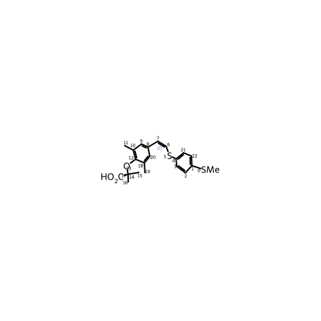 CSc1ccc(S/C=C\c2cc(C)c(OC(C)(C)C(=O)O)c(C)c2)cc1